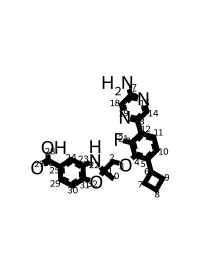 CC1(COc2c(C3CCC3)ccc(-c3cnc(N)cn3)c2F)Nc2cc(C(=O)O)ccc2O1